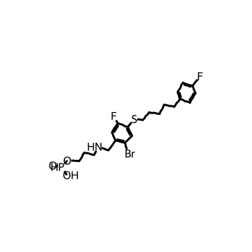 O=[PH](O)OCCCNCc1cc(F)c(SCCCCCc2ccc(F)cc2)cc1Br